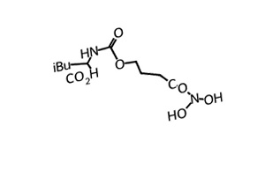 CCC(C)C(NC(=O)OCCCCON(O)O)C(=O)O